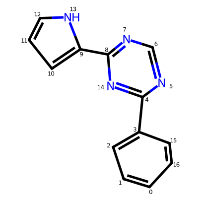 c1ccc(-c2ncnc(-c3ccc[nH]3)n2)cc1